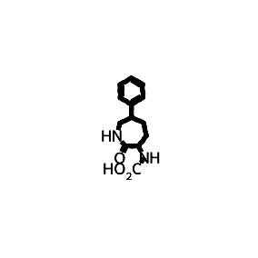 O=C(O)NC1CCC(c2ccccc2)CNC1=O